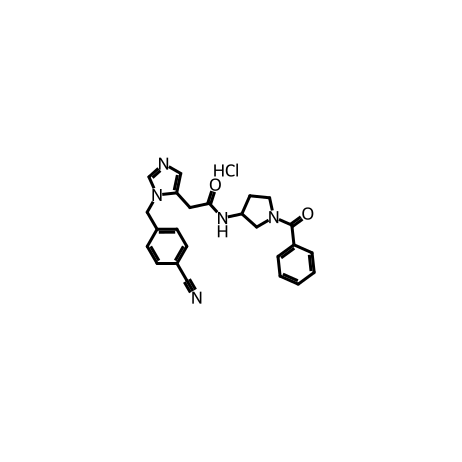 Cl.N#Cc1ccc(Cn2cncc2CC(=O)NC2CCN(C(=O)c3ccccc3)C2)cc1